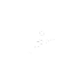 CC(C)(C)ONC(=O)c1cn(Cc2ccc(Cl)cc2)c(=O)c2c1SC[C@@H]2NC(=O)OC(C)(C)C